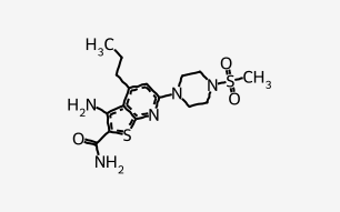 CCCc1cc(N2CCN(S(C)(=O)=O)CC2)nc2sc(C(N)=O)c(N)c12